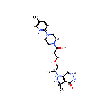 Cc1ccc(N2CCN(C(=O)CCOCC(C)n3nc(C(F)(F)F)c4c(=O)[nH]ncc43)CC2)nc1